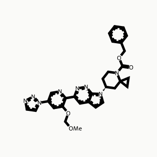 COCOc1cc(-n2ccnn2)cnc1-c1cc2ccn([C@@H]3CCN(C(=O)OCc4ccccc4)C4(CC4)C3)c2nn1